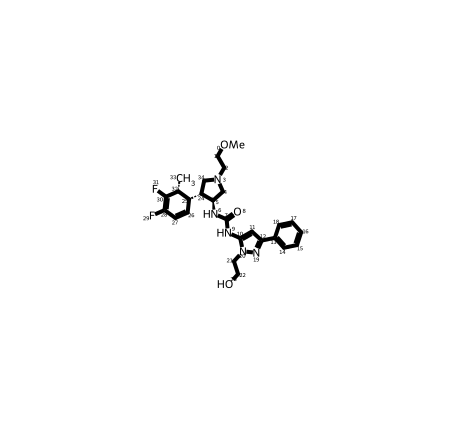 COCCN1C[C@@H](NC(=O)Nc2cc(-c3ccccc3)nn2CCO)[C@H](C2C=CC(F)=C(F)[C@@H]2C)C1